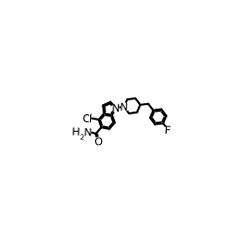 NC(=O)c1ccc2c(ccn2N2CCC(Cc3ccc(F)cc3)CC2)c1Cl